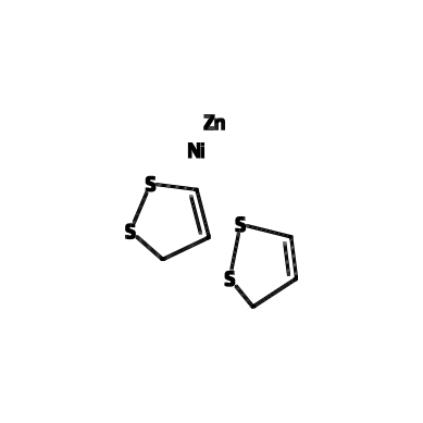 C1=CSSC1.C1=CSSC1.[Ni].[Zn]